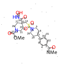 CNC(=O)c1ccc(C2=CCN(S(=O)(=O)CC3(C(=O)NO)CCN(C(=O)OC)CC3)CC2)c(C)c1